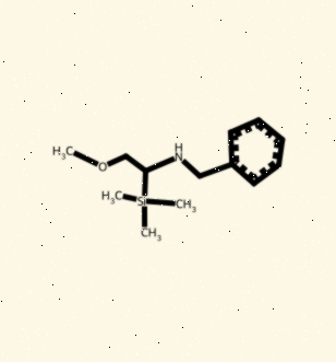 COCC(NCc1ccccc1)[Si](C)(C)C